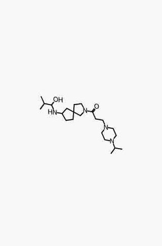 CC(C)C(O)NC1CCC2(CCN(C(=O)CCN3CCN(C(C)C)CC3)C2)C1